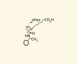 CCCCCCC=C[C@H]1CC[C@H](C(=O)NC(C)c2ccccc2)[C@@H]1CCCCCCC(=O)O